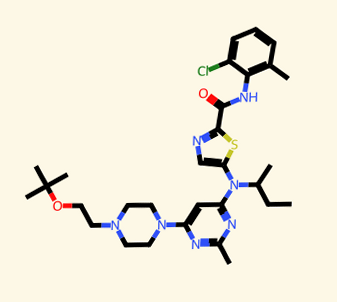 CCC(C)N(c1cc(N2CCN(CCOC(C)(C)C)CC2)nc(C)n1)c1cnc(C(=O)Nc2c(C)cccc2Cl)s1